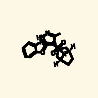 Cc1n[nH]c(C)c1S(=O)(=O)N1[C@@H]2CC[C@H]1CC(Oc1nc3ccccc3o1)C2